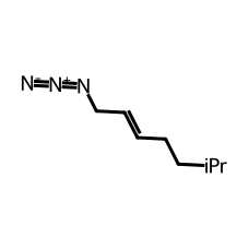 CC(C)CC/C=C/CN=[N+]=[N-]